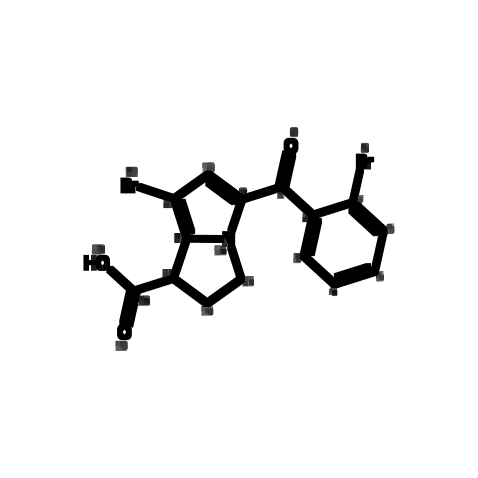 O=C(c1ccccc1Br)c1cc(Br)c2n1CCC2C(=O)O